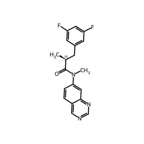 C[C@@H](Cc1cc(F)cc(F)c1)C(=O)N(C)c1ccc2cncnc2c1